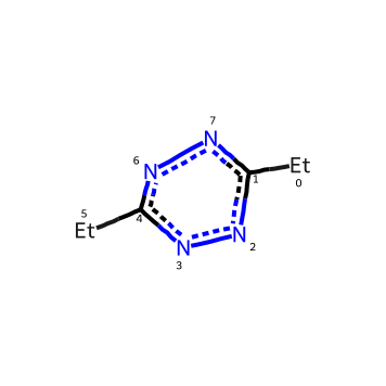 CCc1nnc(CC)nn1